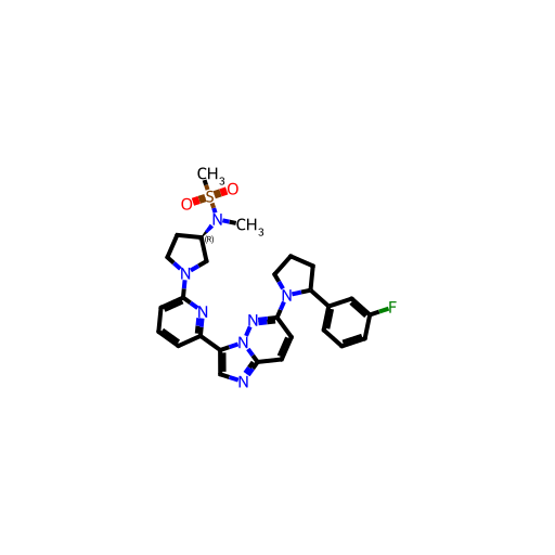 CN([C@@H]1CCN(c2cccc(-c3cnc4ccc(N5CCCC5c5cccc(F)c5)nn34)n2)C1)S(C)(=O)=O